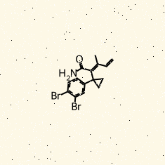 C=C/C(C)=C(/C(N)=O)C1(c2ccc(Br)c(Br)c2)CC1